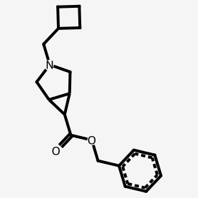 O=C(OCc1ccccc1)C1C2CN(CC3CCC3)CC21